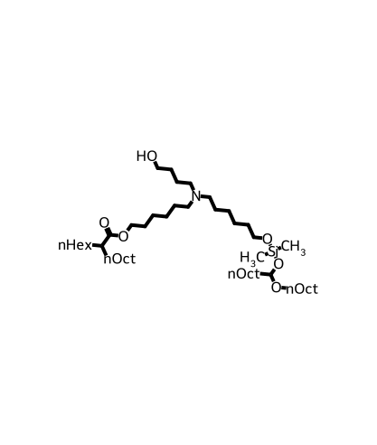 CCCCCCCCOC(CCCCCCCC)O[Si](C)(C)OCCCCCCN(CCCCO)CCCCCCOC(=O)C(CCCCCC)CCCCCCCC